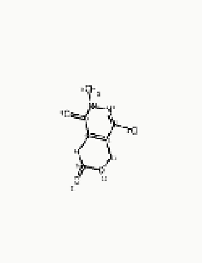 Cn1nc(Cl)c2c(c1=O)CC(=O)OC2